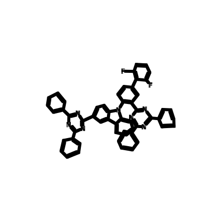 Fc1cccc(F)c1-c1ccc(-n2c3ccccc3c3cc(-c4nc(-c5ccccc5)nc(-c5ccccc5)n4)ccc32)c(-c2nc(-c3ccccc3)nc(-c3ccccc3)n2)c1